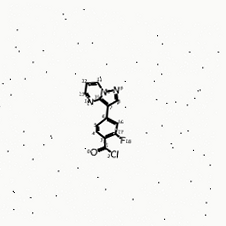 O=C(Cl)c1ccc(-c2cnn3cccnc23)cc1F